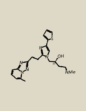 CNCC[C@H](O)Cn1cc(-c2cccs2)nc1CCc1nc2cccc(C)n2n1